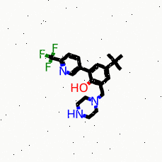 CC(C)(C)c1cc(CN2CCNCC2)c(O)c(-c2ccc(C(F)(F)F)nc2)c1